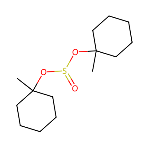 CC1(OS(=O)OC2(C)CCCCC2)CCCCC1